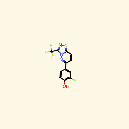 Oc1ccc(-c2ccc3nnc(C(F)(F)F)n3n2)cc1F